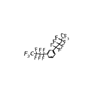 FC(F)(F)C(F)(F)C(F)(F)C(F)(F)c1[c]c(C(F)(F)C(F)(F)C(F)(F)C(F)(F)F)ccc1